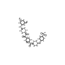 CS(=O)(=O)c1ccc(OC2CCN(C(=O)c3ccc(C(=O)NC4CCN(Cc5cc(F)cc(F)c5)CC4)cn3)CC2)cc1